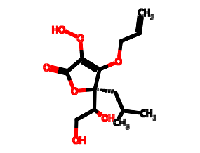 C=CCOC1=C(OO)C(=O)O[C@]1(CC(C)C)[C@@H](O)CO